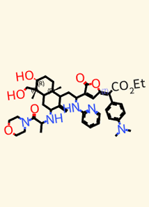 C=C1C(NC(C)C(=O)N2CCOCC2)CC2[C@](C)(CC[C@@H](O)[C@@]2(C)CO)C1CC(Nc1ccccn1)C1=C/C(=C(/C(=O)OCC)c2ccc(N(C)C)cc2)OC1=O